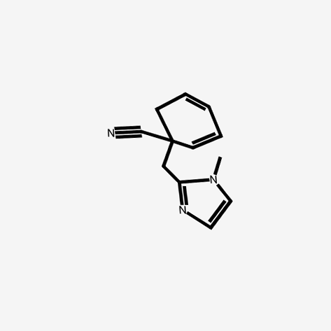 Cn1ccnc1CC1(C#N)C=CC=CC1